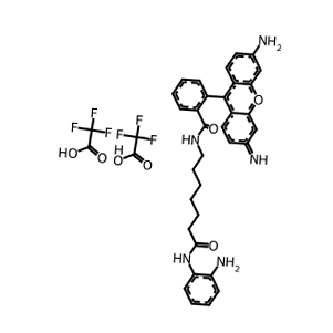 N=c1ccc2c(-c3ccccc3C(=O)NCCCCCCC(=O)Nc3ccccc3N)c3ccc(N)cc3oc-2c1.O=C(O)C(F)(F)F.O=C(O)C(F)(F)F